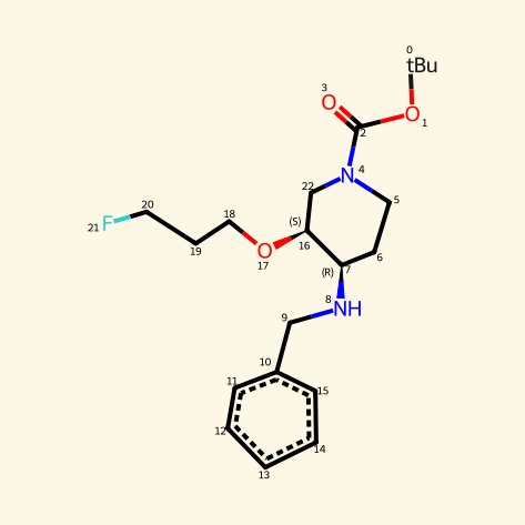 CC(C)(C)OC(=O)N1CC[C@@H](NCc2ccccc2)[C@@H](OCCCF)C1